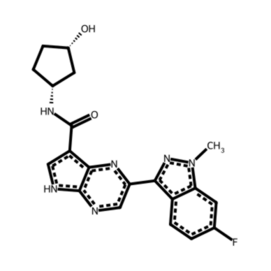 Cn1nc(-c2cnc3[nH]cc(C(=O)N[C@@H]4CC[C@H](O)C4)c3n2)c2ccc(F)cc21